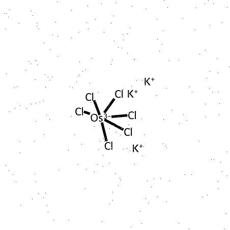 [Cl][Os-3]([Cl])([Cl])([Cl])([Cl])[Cl].[K+].[K+].[K+]